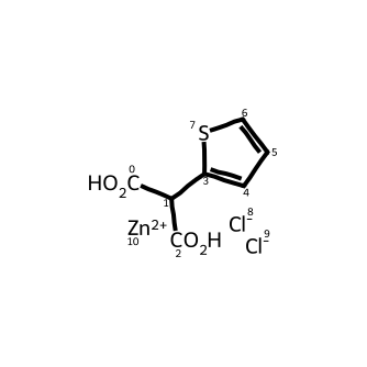 O=C(O)C(C(=O)O)c1cccs1.[Cl-].[Cl-].[Zn+2]